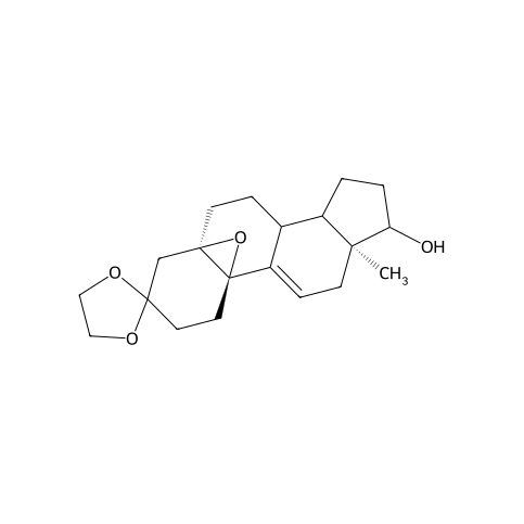 C[C@]12CC=C3C(CC[C@@]45CC6(CC[C@@]34O5)OCCO6)C1CCC2O